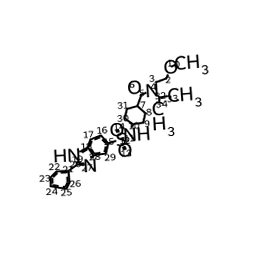 COCCN(C(=O)C1CCC(NS(=O)(=O)c2ccc3[nH]c(-c4ccccc4)nc3c2)CC1)C(C)C